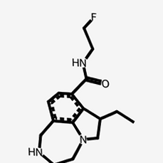 CCC1CN2CCNCc3ccc(C(=O)NCCF)c1c32